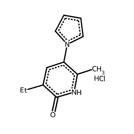 CCc1cc(-n2cccc2)c(C)[nH]c1=O.Cl